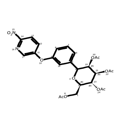 CC(=O)OC[C@H]1OC(c2cccc(Oc3ccc([N+](=O)[O-])nc3)c2)[C@@H](OC(C)=O)[C@@H](OC(C)=O)[C@@H]1OC(C)=O